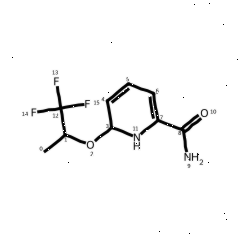 CC(OC1C=C[C]=C(C(N)=O)N1)C(F)(F)F